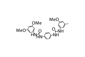 COc1cc(C)cc(NC(=O)Nc2ccc(NC(=O)Nc3cc(OC)cc(OC)c3)cc2)c1